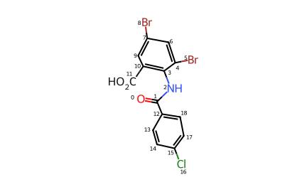 O=C(Nc1c(Br)cc(Br)cc1C(=O)O)c1ccc(Cl)cc1